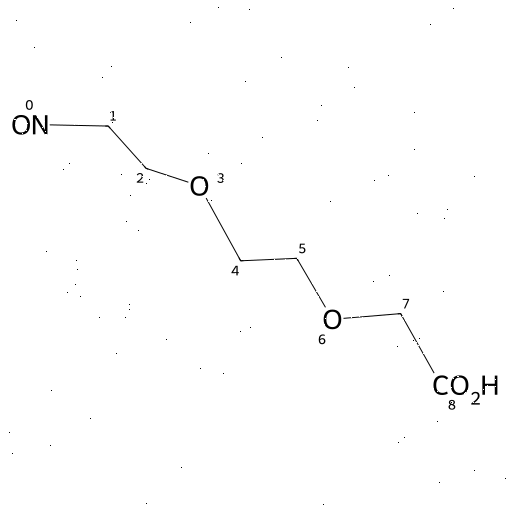 O=NCCOCCOCC(=O)O